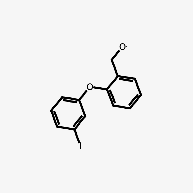 [O]Cc1ccccc1Oc1cccc(I)c1